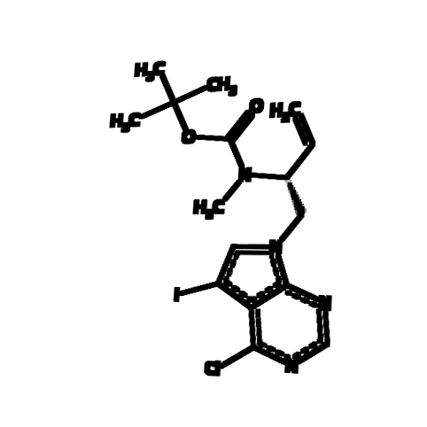 C=C[C@H](Cn1cc(I)c2c(Cl)ncnc21)N(C)C(=O)OC(C)(C)C